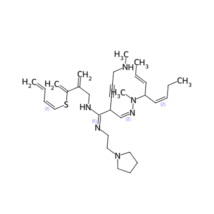 C=C/C=C\SC(=C)C(=C)CN/C(=N/CCN1CCCC1)C(C#CCNC)/C=N\N(C)C(C=CC)/C=C\CC